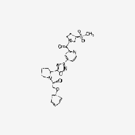 CS(=O)(=O)[C@@H]1CCN(C(=O)c2cc(-c3noc(C4CCCCN4C(=O)COc4ccccc4)n3)ccn2)C1